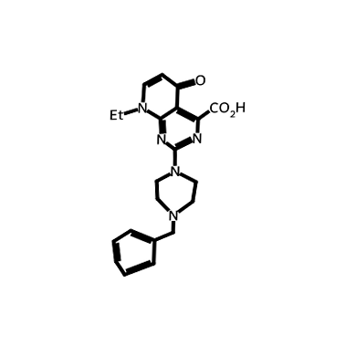 CCn1ccc(=O)c2c(C(=O)O)nc(N3CCN(Cc4ccccc4)CC3)nc21